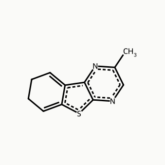 Cc1cnc2sc3c(c2n1)=CCCC=3